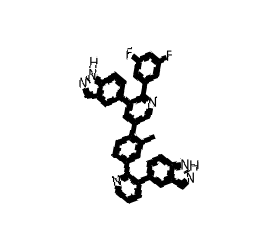 Cc1cc(-c2ncccc2-c2ccc3[nH]ncc3c2)ccc1-c1cnc(-c2cc(F)cc(F)c2)c(-c2ccc3[nH]ncc3c2)c1